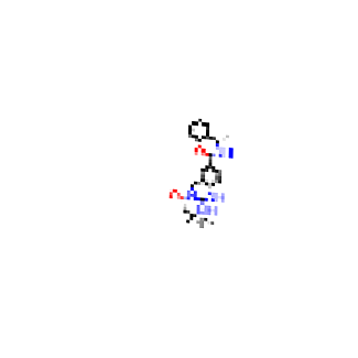 CC(C)[C@]1(C)CC(=O)N(Cc2cccc(C(=O)N[C@@H](C)c3ccccc3)c2)C(=N)N1